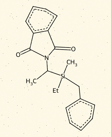 CC[Si](C)(Cc1ccccc1)C(C)N1C(=O)c2ccccc2C1=O